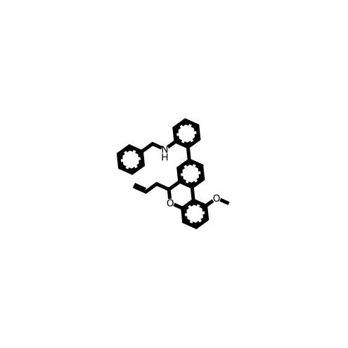 C=CCC1Oc2cccc(OC)c2-c2ccc(-c3ccccc3NCc3ccccc3)cc21